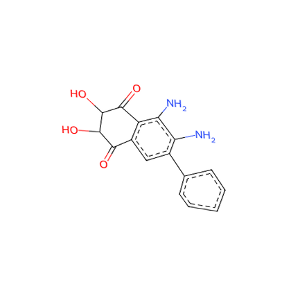 Nc1c(-c2ccccc2)cc2c(c1N)C(=O)C(O)C(O)C2=O